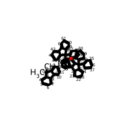 CC1(C)c2ccccc2-c2ccc(N(c3ccc4c(c3)-c3ccccc3C4(c3ccccc3)c3ccccc3)c3cccc4c3C(c3ccccc3)(c3ccccc3)c3ccccc3-4)cc21